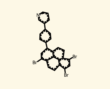 Brc1cc(Br)c2ccc3c(-c4ccc(-c5cccnc5)cc4)cc(Br)c4ccc1c2c43